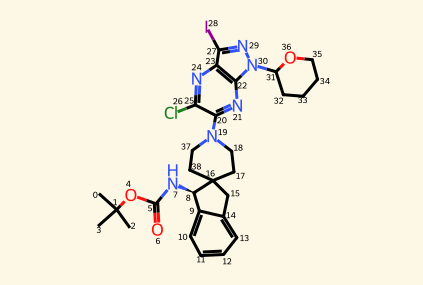 CC(C)(C)OC(=O)N[C@@H]1c2ccccc2CC12CCN(c1nc3c(nc1Cl)c(I)nn3C1CCCCO1)CC2